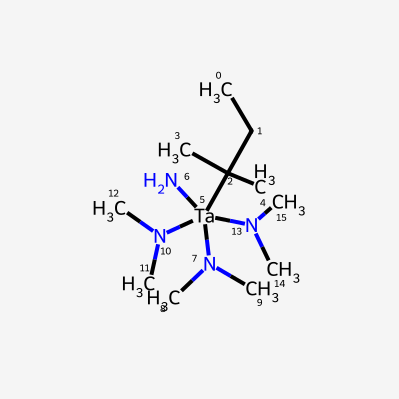 CC[C](C)(C)[Ta]([NH2])([N](C)C)([N](C)C)[N](C)C